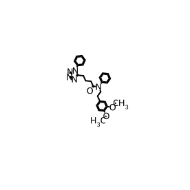 COc1ccc(CCN(C(=O)CCCc2nnnn2-c2ccccc2)c2ccccc2)cc1OC